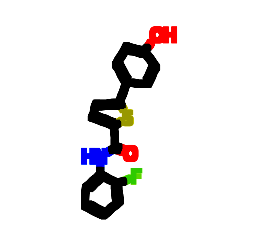 O=C(Nc1ccccc1F)c1ccc(-c2ccc(O)cc2)s1